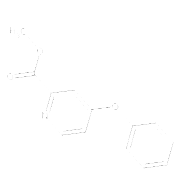 COC(=O)c1cc(Oc2ccccc2)ccn1